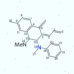 C=C/C=C1\C(=C)c2ccc(C)cc2C(NC)C1N(C)c1ccccc1